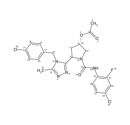 CC(=O)O[C@H]1CC(c2nnc(C)n2Cc2ccc(Cl)cc2)N(C(=O)Nc2ccc(Cl)cc2F)C1